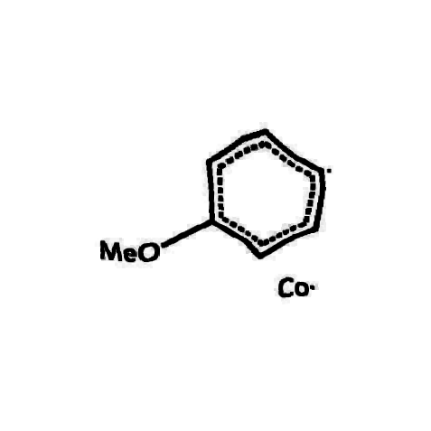 COc1cc[c]cc1.[Co]